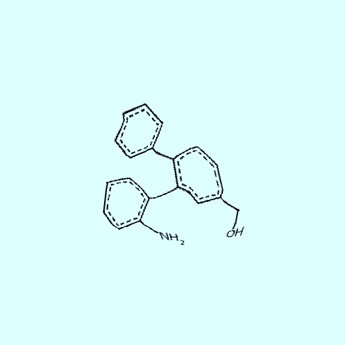 Nc1ccccc1-c1cc(CO)ccc1-c1ccccc1